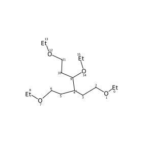 CCOCC[C](CCOCC)C(CCOCC)OCC